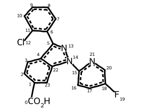 O=C(O)c1ccc2c(-c3ccccc3Cl)nn(-c3ccc(F)cn3)c2c1